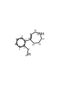 CC(C)Cc1ccccc1C1=CCNCCC1